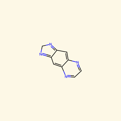 c1cnc2cc3c(cc2n1)=NCN=3